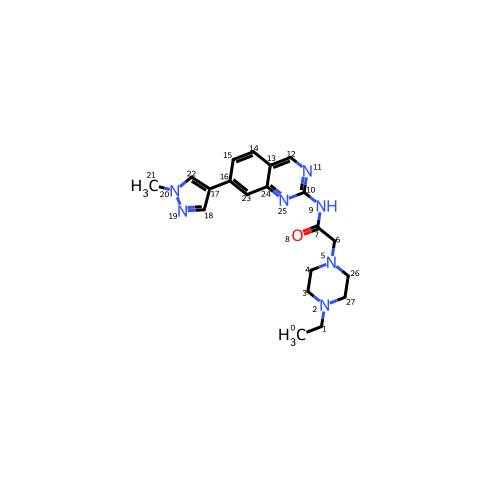 CCN1CCN(CC(=O)Nc2ncc3ccc(-c4cnn(C)c4)cc3n2)CC1